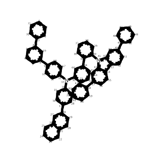 c1ccc(-c2cccc(-c3ccc(N(c4ccc(-c5ccc6ccccc6c5)cc4)c4cccc(-c5ccccc5-n5c6cc(-c7ccccc7)ccc6c6ccc(-c7ccccc7)cc65)c4)cc3)c2)cc1